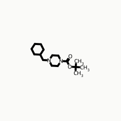 CC(C)(C)OC(=O)N1CCN(CC2CCCCC2)CC1